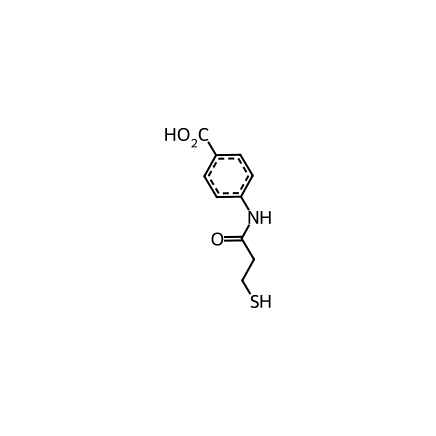 O=C(CCS)Nc1ccc(C(=O)O)cc1